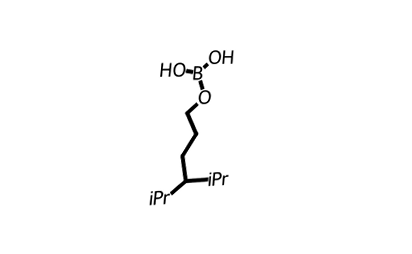 CC(C)C(CCCOB(O)O)C(C)C